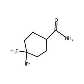 CC(C)C1(C)CCC(C(N)=O)CC1